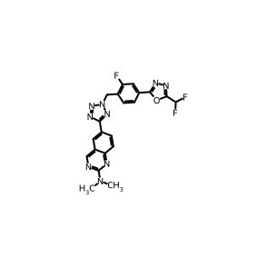 CN(C)c1ncc2cc(-c3nnn(Cc4ccc(-c5nnc(C(F)F)o5)cc4F)n3)ccc2n1